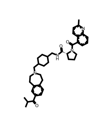 Cc1ccc2c(C(=O)N3CCC[C@@H]3C(=O)NCC3CCC(CN4CCc5ccc(C(=O)C(C)C)cc5CC4)CC3)cccc2n1